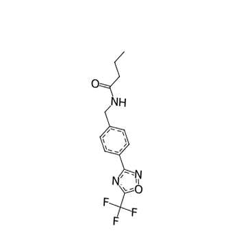 CCCC(=O)NCc1ccc(-c2noc(C(F)(F)F)n2)cc1